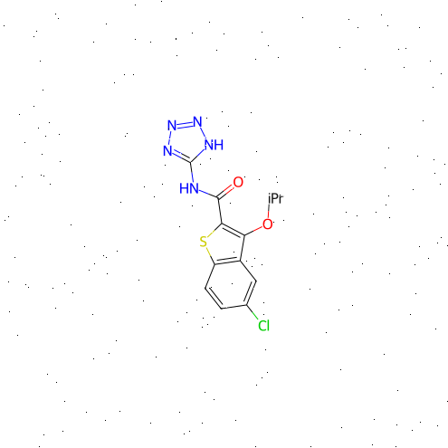 CC(C)Oc1c(C(=O)Nc2nnn[nH]2)sc2ccc(Cl)cc12